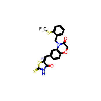 O=C1NC(=S)S/C1=C/c1ccc2c(c1)N(Cc1ccccc1SC(F)(F)F)C(=O)CO2